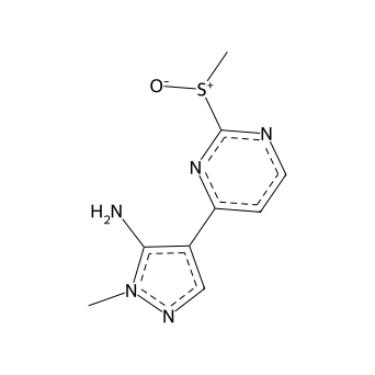 Cn1ncc(-c2ccnc([S+](C)[O-])n2)c1N